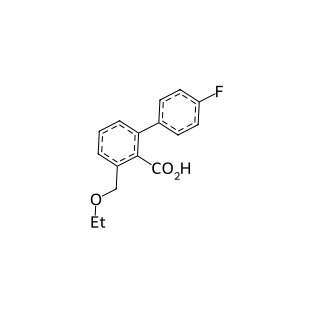 CCOCc1cccc(-c2ccc(F)cc2)c1C(=O)O